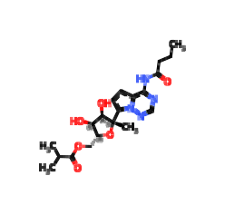 CCCC(=O)Nc1ncnn2c([C@]3(C)O[C@H](COC(=O)C(C)C)[C@@H](O)[C@H]3O)ccc12